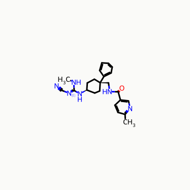 CN/C(=N\C#N)N[C@H]1CC[C@](CNC(=O)c2ccc(C)nc2)(c2ccccc2)CC1